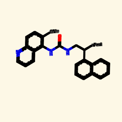 CCCCCC(CNC(=O)Nc1c(OC)ccc2ncccc12)c1cccc2ccccc12